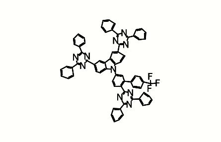 FC(F)(F)c1ccc(-c2cc(-n3c4ccc(-c5nc(-c6ccccc6)nc(-c6ccccc6)n5)cc4c4cc(-c5nc(-c6ccccc6)nc(-c6ccccc6)n5)ccc43)ccc2-c2nc(-c3ccccc3)nc(-c3ccccc3)n2)cc1